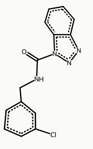 O=C(NCc1cccc(Cl)c1)n1nnc2ccccc21